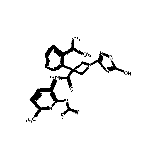 Cc1ccc(NC(=O)C2(c3ccccc3C(C)C)CN(c3noc(O)n3)C2)c(OC(F)F)n1